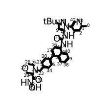 Cc1ccc(-n2nc(C(C)(C)C)cc2NC(=O)Nc2ccc(-c3ccc(CN4CCOCC4C(=O)NO)cc3)c3ccccc23)cn1